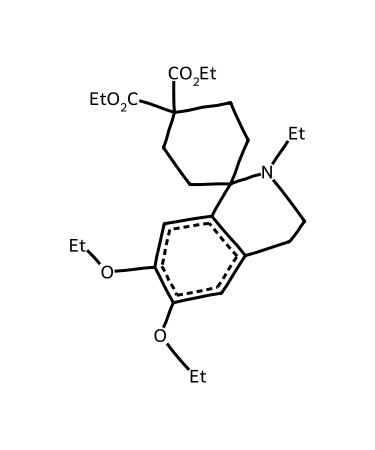 CCOC(=O)C1(C(=O)OCC)CCC2(CC1)c1cc(OCC)c(OCC)cc1CCN2CC